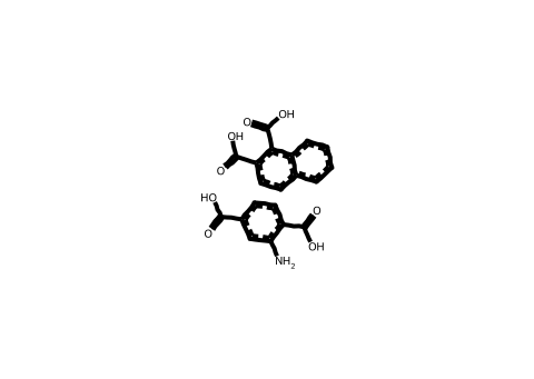 Nc1cc(C(=O)O)ccc1C(=O)O.O=C(O)c1ccc2ccccc2c1C(=O)O